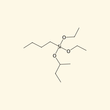 CCCC[Si](OCC)(OCC)OC(C)CC